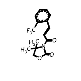 CC1(C)COC(=O)N1C(=O)C=Cc1ccccc1C(F)(F)F